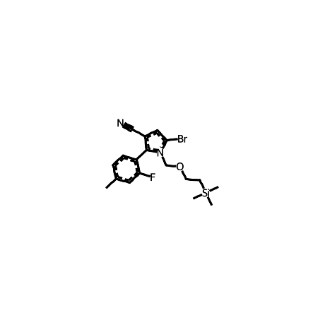 Cc1ccc(-c2c(C#N)cc(Br)n2COCC[Si](C)(C)C)c(F)c1